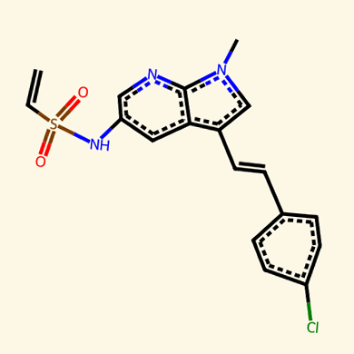 C=CS(=O)(=O)Nc1cnc2c(c1)c(C=Cc1ccc(Cl)cc1)cn2C